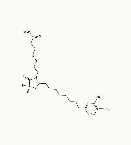 COC(=O)CCCCCCN1C(=O)C(F)(F)CC1CCCCCCCCc1ccc(C)c(O)c1